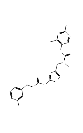 Cc1ncc(OC(=O)N(C)Cc2csc(NC(=O)NCc3cccc(F)c3)n2)c(C)n1